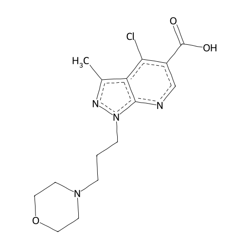 Cc1nn(CCCN2CCOCC2)c2ncc(C(=O)O)c(Cl)c12